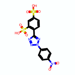 O=[N+]([O-])c1ccc(-n2nnc(-c3ccc(S(=O)(=O)O)cc3S(=O)(=O)O)n2)cc1